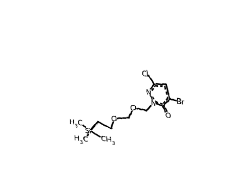 C[Si](C)(C)CCOCOCn1nc(Cl)cc(Br)c1=O